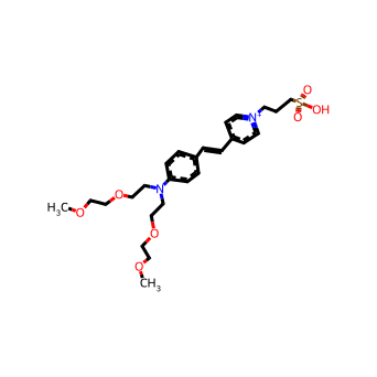 COCCOCCN(CCOCCOC)c1ccc(/C=C/c2cc[n+](CCCS(=O)(=O)O)cc2)cc1